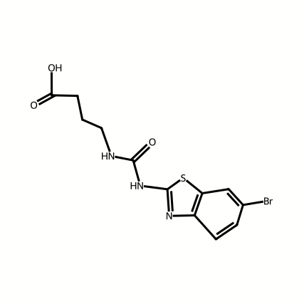 O=C(O)CCCNC(=O)Nc1nc2ccc(Br)cc2s1